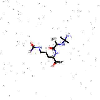 CC(C)C(=O)C(CCCNC(=O)I)NC(=O)C(NC(C)(C)N)C(C)C